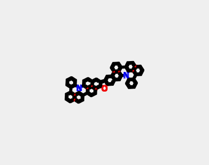 c1ccc(-c2ccccc2N(c2ccc3cc4c(cc3c2)oc2cc3cc(N(c5ccccc5-c5ccccc5)c5ccccc5-c5ccccc5)ccc3cc24)c2ccccc2-c2ccccc2)cc1